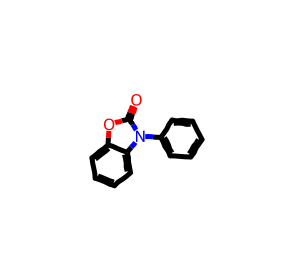 O=c1oc2ccccc2n1-c1ccccc1